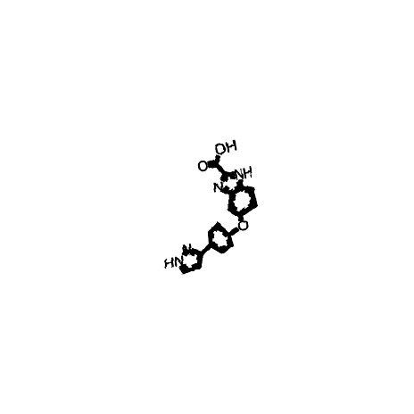 O=C(O)c1nc2cc(Oc3ccc(-c4cc[nH]n4)cc3)ccc2[nH]1